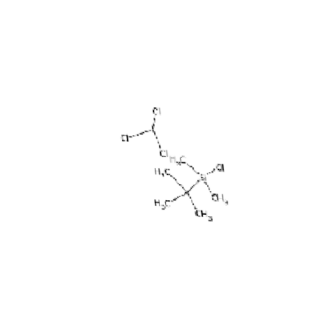 CC(C)(C)[Si](C)(C)Cl.ClC(Cl)Cl